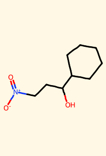 O=[N+]([O-])CCC(O)C1CCCCC1